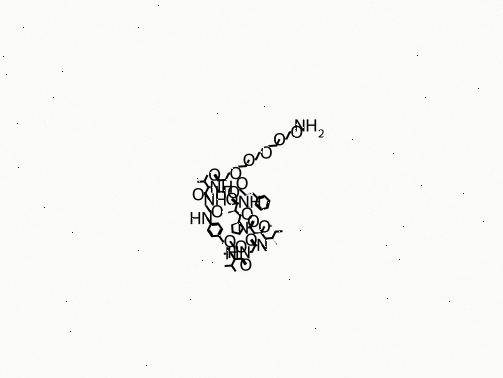 CC[C@H](C)C([C@@H](CC(=O)N1CCC[C@H]1[C@H](OC)[C@@H](C)C(=O)N[C@@H](Cc1ccccc1)C(=O)O)OC)N(C)C(=O)CNC(=O)C(C(C)C)N(C)C(=O)OCc1ccc(NC(=O)CNC(=O)C(NC(=O)CCOCCOCCOCCOCCON)C(C)C)cc1